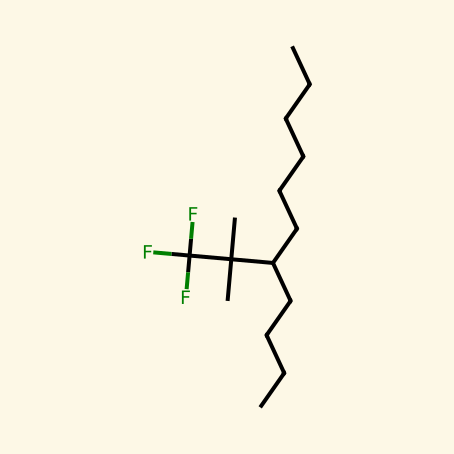 CCCCCCC(CCCC)C(C)(C)C(F)(F)F